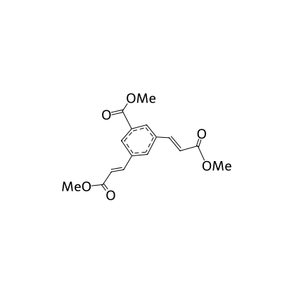 COC(=O)/C=C/c1cc(/C=C/C(=O)OC)cc(C(=O)OC)c1